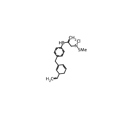 C=CC1C=C(Cc2ccc(BC(=C)CN(Cl)SC)cc2)C=CC1